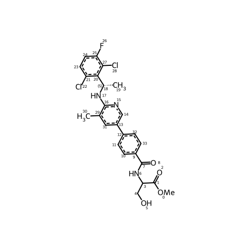 COC(=O)C(CO)NC(=O)c1ccc(-c2cnc(N[C@@H](C)c3c(Cl)ccc(F)c3Cl)c(C)c2)cc1